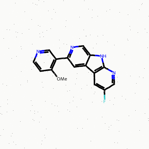 COc1ccncc1-c1cc2c(cn1)[nH]c1ncc(F)cc12